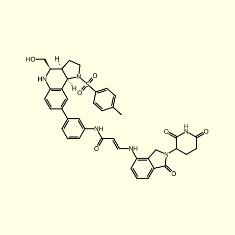 Cc1ccc(S(=O)(=O)N2CC[C@@H]3[C@H](CO)Nc4ccc(-c5cccc(NC(=O)C=CNc6cccc7c6CN(C6CCC(=O)NC6=O)C7=O)c5)cc4[C@@H]32)cc1